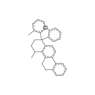 Cc1ccccc1C1(c2ccccc2Cl)CCC(C)c2c1ccc1c2CCc2ccccc2-1